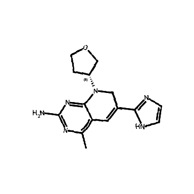 Cc1nc(N)nc2c1C=C(c1ncc[nH]1)CN2[C@@H]1CCOC1